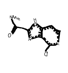 CNC(=O)c1nc2c(Cl)nccc2[nH]1